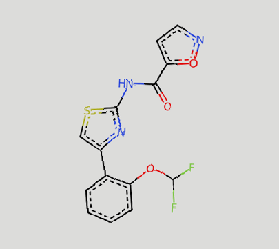 O=C(Nc1nc(-c2ccccc2OC(F)F)cs1)c1ccno1